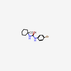 O=C(Nc1ccc(Br)cc1)NC1(C(=O)O)CCCCC1